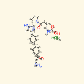 CC(CC(=O)N1CCC[C@H]1c1nc(-c2ccc(-c3ccc(C(=O)CN)cc3)cc2)c[nH]1)CN(C)C(=O)O.Cl.Cl